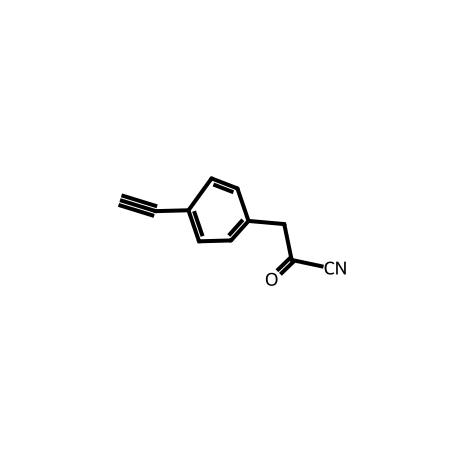 C#Cc1ccc(CC(=O)C#N)cc1